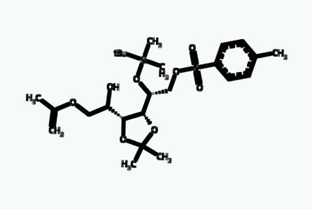 C=C(C)OCC(O)[C@H]1OC(C)(C)O[C@H]1[C@@H](COS(=O)(=O)c1ccc(C)cc1)O[Si](C)(C)C(C)(C)C